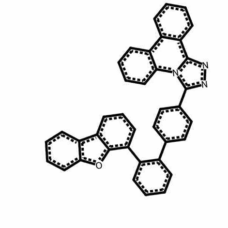 c1ccc(-c2cccc3c2oc2ccccc23)c(-c2ccc(-c3nnc4c5ccccc5c5ccccc5n34)cc2)c1